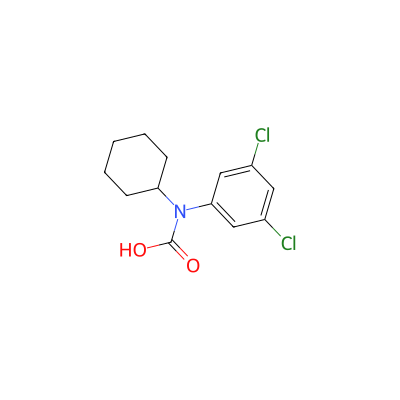 O=C(O)N(c1cc(Cl)cc(Cl)c1)C1CCCCC1